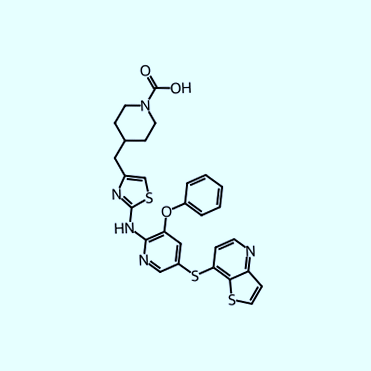 O=C(O)N1CCC(Cc2csc(Nc3ncc(Sc4ccnc5ccsc45)cc3Oc3ccccc3)n2)CC1